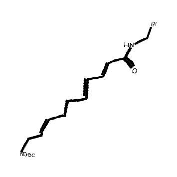 CCCCCCCCCCCC=CCCC=CC=CC(=O)NCC(C)C